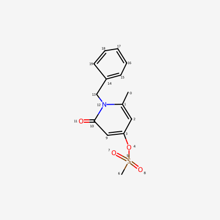 Cc1cc(OS(C)(=O)=O)cc(=O)n1Cc1ccccc1